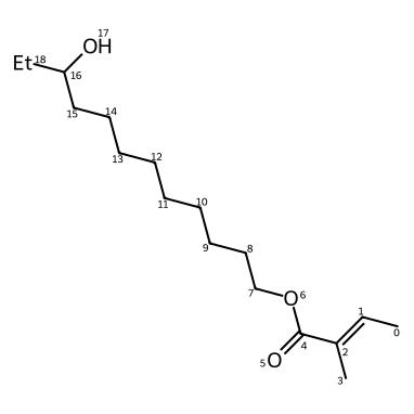 CC=C(C)C(=O)OCCCCCCCCCC(O)CC